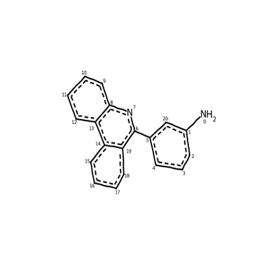 Nc1cccc(-c2nc3ccccc3c3ccccc23)c1